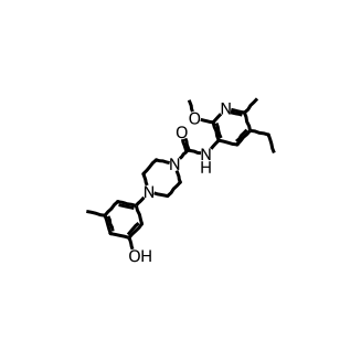 CCc1cc(NC(=O)N2CCN(c3cc(C)cc(O)c3)CC2)c(OC)nc1C